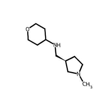 CN1CC[C@H](CNC2CCOCC2)C1